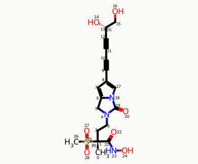 C[C@@](CCN1Cc2cc(C#CC#C[C@H](O)CO)cn2C1=O)(C(=O)NO)S(C)(=O)=O